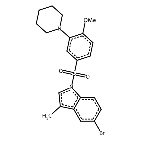 COc1ccc(S(=O)(=O)n2cc(C)c3cc(Br)ccc32)cc1N1CCCCC1